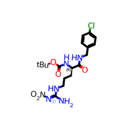 CC(C)(C)OC(=O)N[C@H](CCCN/C(N)=N\[N+](=O)[O-])C(=O)NCc1ccc(Cl)cc1